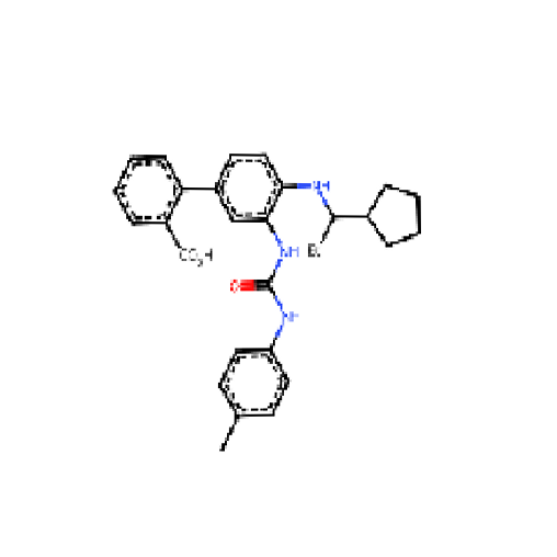 CCC(Nc1ccc(-c2ccccc2C(=O)O)cc1NC(=O)Nc1ccc(C)cc1)C1CCCC1